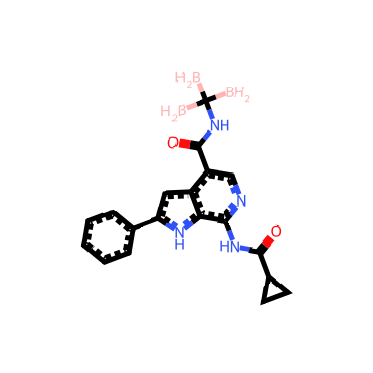 BC(B)(B)NC(=O)c1cnc(NC(=O)C2CC2)c2[nH]c(-c3ccccc3)cc12